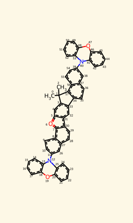 CC1(C)c2cc3oc4c5ccc(N6c7ccccc7Oc7ccccc76)cc5ccc4c3cc2-c2ccc3cc(N4c5ccccc5Oc5ccccc54)ccc3c21